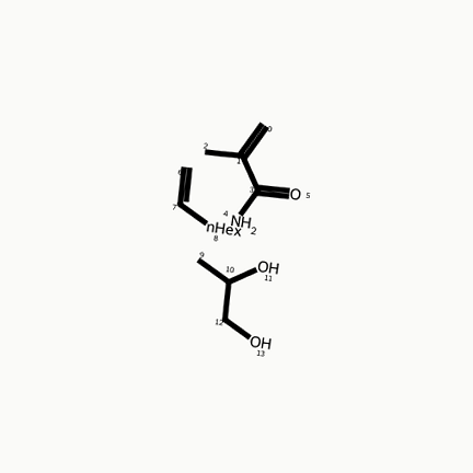 C=C(C)C(N)=O.C=CCCCCCC.CC(O)CO